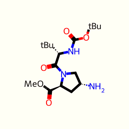 COC(=O)[C@@H]1C[C@@H](N)CN1C(=O)[C@@H](NC(=O)OC(C)(C)C)C(C)(C)C